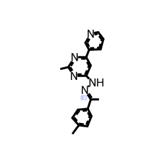 C/C(=N\Nc1cc(-c2cccnc2)nc(C)n1)c1ccc(C)cc1